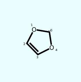 [C]1OC=CO1